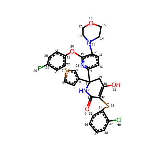 O=C1NC(c2ccsc2)(c2ccc(N3CCOCC3)c(Oc3ccc(F)cc3)n2)CC(O)=C1Sc1ccccc1Cl